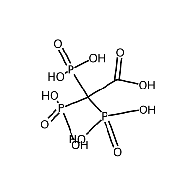 O=C(O)C(P(=O)(O)O)(P(=O)(O)O)P(=O)(O)O